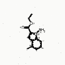 CCOC(=O)c1cc2c(C)cccc2n1N